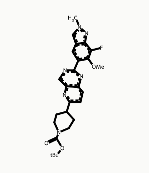 COc1c(-c2ncc3nc(C4CCN(C(=O)OC(C)(C)C)CC4)ccc3n2)cc2cn(C)nc2c1F